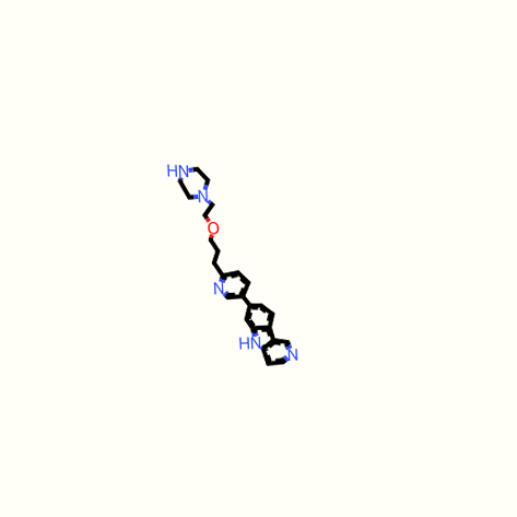 c1cc2[nH]c3cc(-c4ccc(CCCOCCN5CCNCC5)nc4)ccc3c2cn1